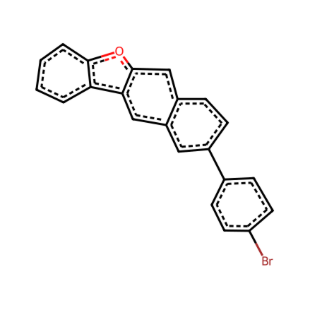 Brc1ccc(-c2ccc3cc4oc5ccccc5c4cc3c2)cc1